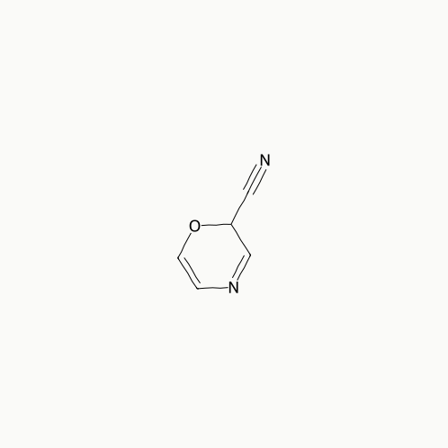 N#CC1C=NC=CO1